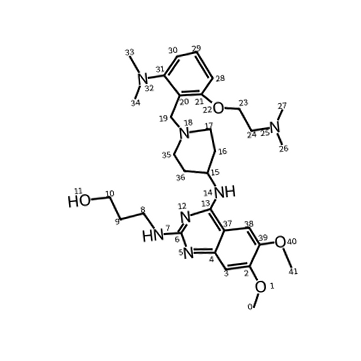 COc1cc2nc(NCCCO)nc(NC3CCN(Cc4c(OCCN(C)C)cccc4N(C)C)CC3)c2cc1OC